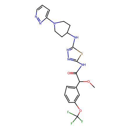 COC(C(=O)Nc1nnc(NC2CCN(c3cccnn3)CC2)s1)c1cccc(OC(F)(F)F)c1